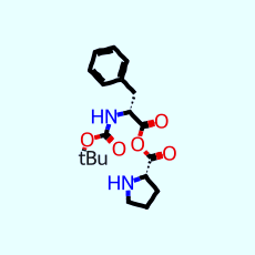 CC(C)(C)OC(=O)N[C@H](Cc1ccccc1)C(=O)OC(=O)[C@@H]1CCCN1